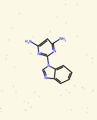 Nc1cc(N)nc(-n2cnc3ccccc32)n1